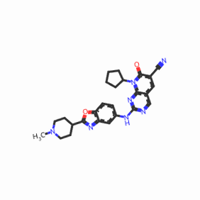 CN1CCC(c2nc3cc(Nc4ncc5cc(C#N)c(=O)n(C6CCCC6)c5n4)ccc3o2)CC1